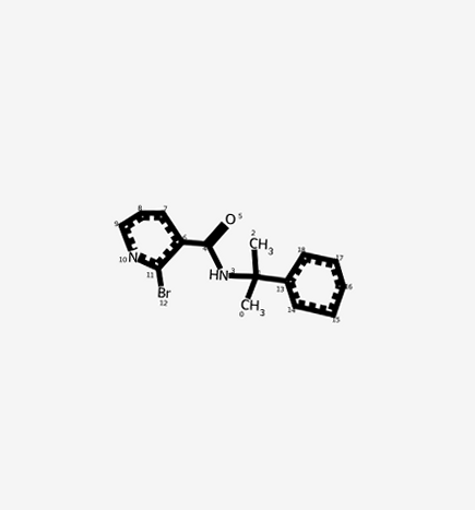 CC(C)(NC(=O)c1cccnc1Br)c1ccccc1